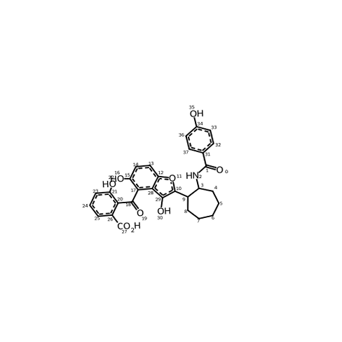 O=C(NC1CCCCCC1c1oc2ccc(O)c(C(=O)c3c(O)cccc3C(=O)O)c2c1O)c1ccc(O)cc1